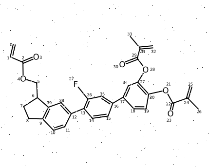 C=CC(=O)OCC1CCc2ccc(-c3ccc(-c4ccc(OC(=O)C(=C)C)c(OC(=O)C(=C)C)c4)cc3F)cc21